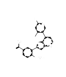 COc1ccc(C(N)=O)cc1-c1cc2nccc(-c3cnc(F)cc3C)c2o1